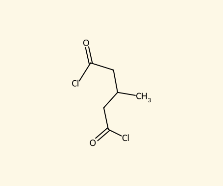 CC(CC(=O)Cl)CC(=O)Cl